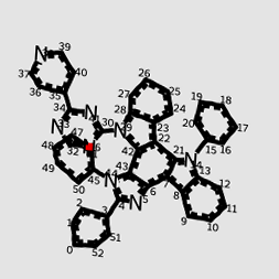 c1ccc(-c2nc3c4c5ccccc5n(-c5ccccc5)c4c4c5ccccc5n(-c5ncnc(-c6ccncc6)n5)c4c3n2-c2ccccc2)cc1